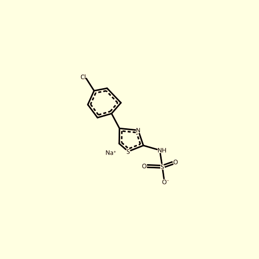 O=S(=O)([O-])Nc1nc(-c2ccc(Cl)cc2)cs1.[Na+]